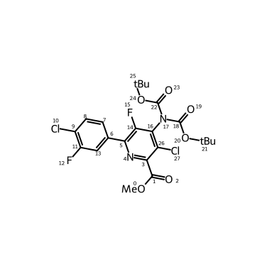 COC(=O)c1nc(-c2ccc(Cl)c(F)c2)c(F)c(N(C(=O)OC(C)(C)C)C(=O)OC(C)(C)C)c1Cl